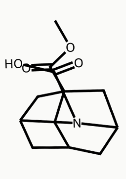 COC(=O)C12CC3CC(C1)N(C(=O)O)C(C3)C2